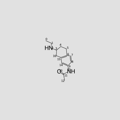 CCNC1CCc2ccc(NC(C)=O)cc2C1